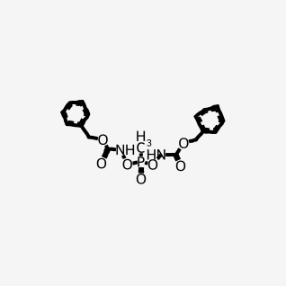 CP(=O)(ONC(=O)OCc1ccccc1)ONC(=O)OCc1ccccc1